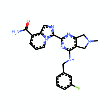 CN1Cc2nc(-c3ncc4c(C(N)=O)cccn34)nc(NCc3cccc(F)c3)c2C1